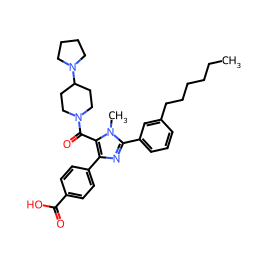 CCCCCCc1cccc(-c2nc(-c3ccc(C(=O)O)cc3)c(C(=O)N3CCC(N4CCCC4)CC3)n2C)c1